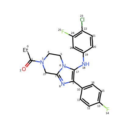 CCC(=O)N1CCn2c(nc(-c3ccc(F)cc3)c2Nc2ccc(Cl)c(F)c2)C1